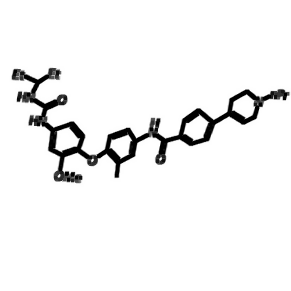 CCCN1CC=C(c2ccc(C(=O)Nc3ccc(Oc4ccc(NC(=O)NC(CC)CC)cc4OC)c(C)c3)cc2)CC1